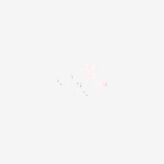 CC(C)O.O=N[O-].O=[N+]([O-])O.[Na+]